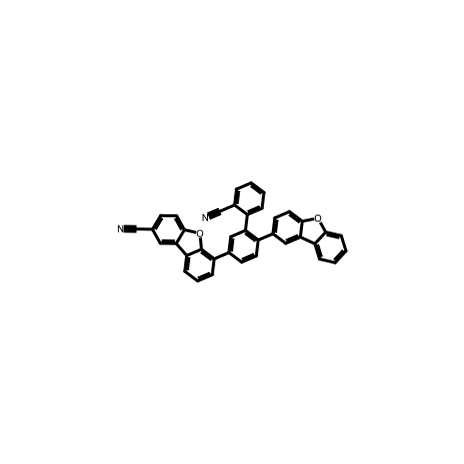 N#Cc1ccc2oc3c(-c4ccc(-c5ccc6oc7ccccc7c6c5)c(-c5ccccc5C#N)c4)cccc3c2c1